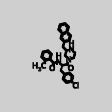 Cc1ccccc1C(=O)N[C@H](Cc1ccc(Cl)cc1)C(=O)N1CCNC(Cc2ccc3ccccc3c2)C1